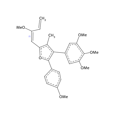 C=C/C(=C\c1oc(-c2ccc(OC)cc2)c(-c2cc(OC)c(OC)c(OC)c2)c1C)OC